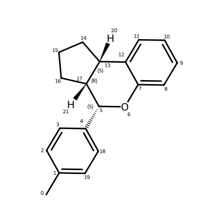 Cc1ccc([C@H]2Oc3ccccc3[C@H]3CCC[C@H]32)cc1